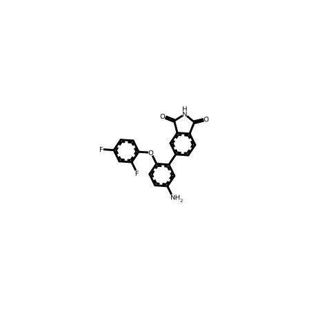 Nc1ccc(Oc2ccc(F)cc2F)c(-c2ccc3c(c2)C(=O)NC3=O)c1